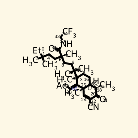 CCC(C)(C)CC[C@@](C)(CCC(C)(C)[C@]1(C)CC[C@H]2[C@H](C)C(=O)C(C#N)=C[C@]2(C)/C1=C/C(C)=O)C(=O)NCC(F)(F)F